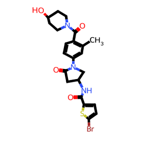 Cc1cc(N2CC(NC(=O)c3ccc(Br)s3)CC2=O)ccc1C(=O)N1CCC(O)CC1